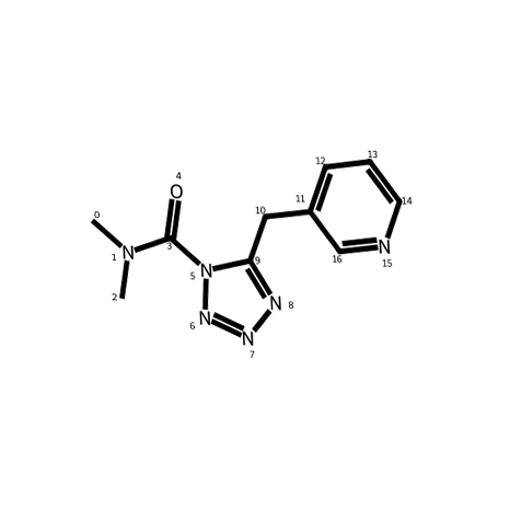 CN(C)C(=O)n1nnnc1Cc1cccnc1